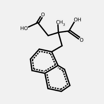 CC(CC(=O)O)(Cc1cccc2ccccc12)C(=O)O